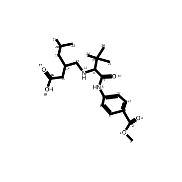 COC(=O)c1ccc(NC(=O)C(NCC(CC(=O)O)CC(C)C)C(C)(C)C)cc1